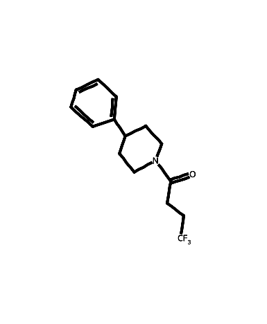 O=C(CCC(F)(F)F)N1CCC(c2ccccc2)CC1